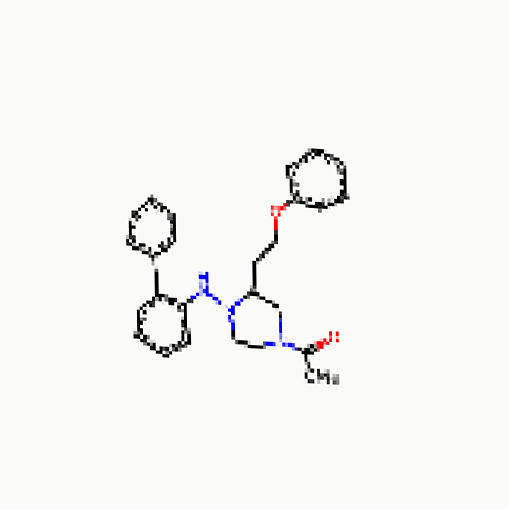 COC(=O)N1CCN(Nc2ccccc2-c2ccccc2)C(CCOc2ccccc2)C1